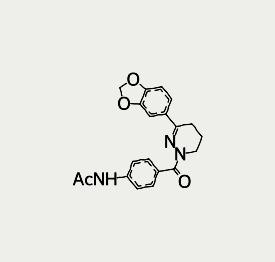 CC(=O)Nc1ccc(C(=O)N2CCCC(c3ccc4c(c3)OCO4)=N2)cc1